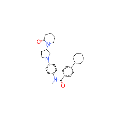 CN(C(=O)c1ccc(C2CCCCC2)cc1)c1ccc(N2CCC(N3CCCCC3=O)C2)cc1